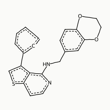 c1ccc(-c2csc3ccnc(NCc4ccc5c(c4)OCCO5)c23)cc1